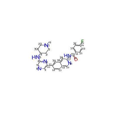 CN1CCC(Nc2cncc(-c3ccc4cnc(NC(=O)c5ccc(F)cc5)cc4c3)n2)CC1